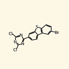 Clc1nc(Cl)nc(-c2ccc3c(c2)sc2ccc(Br)cc23)n1